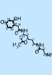 CC(=O)OC(CCCCNC(=O)CCN)NC(=O)Cc1ccc(O)cc1O